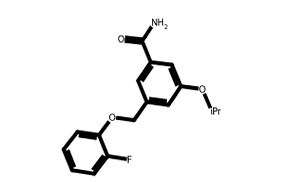 CC(C)Oc1cc(COc2ccccc2F)cc(C(N)=O)c1